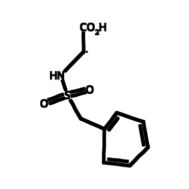 O=C(O)[CH]NS(=O)(=O)Cc1ccccc1